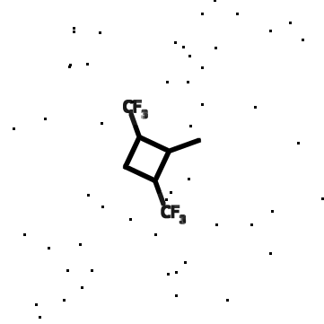 CC1C(C(F)(F)F)CC1C(F)(F)F